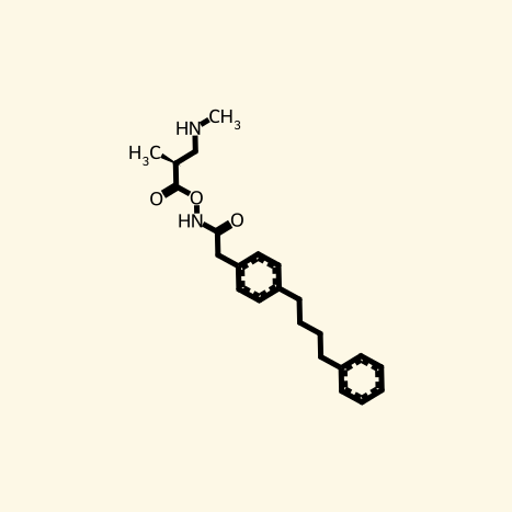 CNC[C@H](C)C(=O)ONC(=O)Cc1ccc(CCCCc2ccccc2)cc1